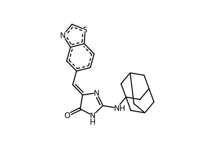 O=C1NC(NC23CC4CC(CC(C4)C2)C3)=NC1=Cc1ccc2scnc2c1